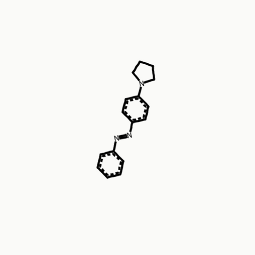 c1ccc(/N=N/c2ccc(N3CCCC3)cc2)cc1